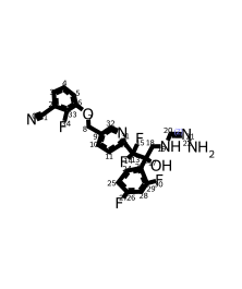 N#Cc1cccc(OCc2ccc(C(F)(F)C(O)(CN/C=N\N)c3ccc(F)cc3F)nc2)c1F